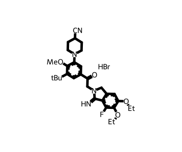 Br.CCOc1cc2c(c(F)c1OCC)C(=N)N(CC(=O)c1cc(N3CCC(C#N)CC3)c(OC)c(C(C)(C)C)c1)C2